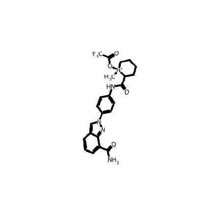 C[N+]1(OC(=O)C(F)(F)F)CCCCC1C(=O)Nc1ccc(-n2cc3cccc(C(N)=O)c3n2)cc1